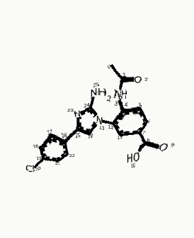 CC(=O)Nc1ccc(C(=O)O)cc1-n1cc(-c2ccc(Cl)cc2)nc1N